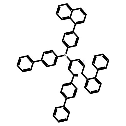 C=C(/C=C(\C=C/Cc1ccccc1-c1ccccc1)N(c1ccc(-c2ccccc2)cc1)c1ccc(-c2cccc3ccccc23)cc1)c1ccc(-c2ccccc2)cc1